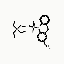 CC[N+](CC)(CC)CC.Nc1ccc2c(c1)Cc1ccccc1N2S(=O)(=O)F